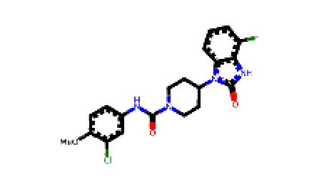 COc1ccc(NC(=O)N2CCC(n3c(=O)[nH]c4c(F)cccc43)CC2)cc1Cl